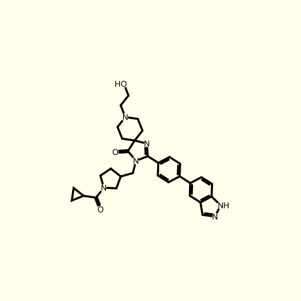 O=C(C1CC1)N1CCC(CN2C(=O)C3(CCN(CCO)CC3)N=C2c2ccc(-c3ccc4[nH]ncc4c3)cc2)C1